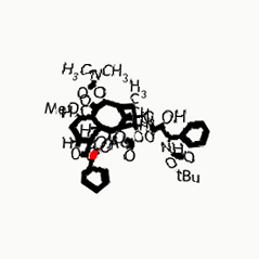 CO[C@H]1C[C@H]2OC[C@@]2(OC(C)=O)[C@H]2[C@H](OC(=O)c3ccccc3)[C@]34OC(=O)O[C@H]3[C@H](OC(=O)[C@H](O)[C@@H](NC(=O)OC(C)(C)C)c3ccccc3)C(C)=C([C@@H](OC(=O)N(C)C)C(=O)[C@]12C)C4(C)C